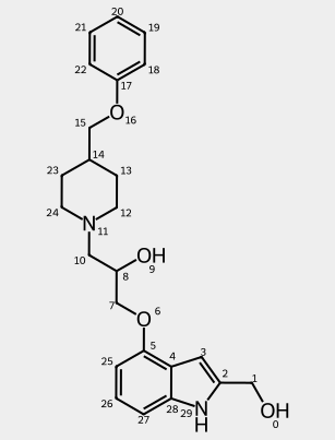 OCc1cc2c(OCC(O)CN3CCC(COc4ccccc4)CC3)cccc2[nH]1